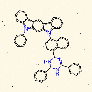 c1ccc(C2=NC(c3ccc(-n4c5ccccc5c5cc6c7ccccc7n(-c7ccccc7)c6cc54)c4ccccc34)NC(c3ccccc3)N2)cc1